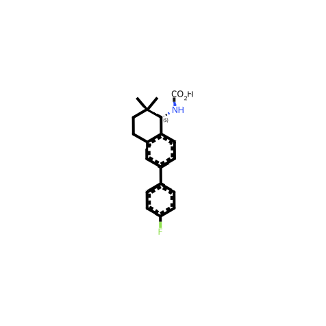 CC1(C)CCc2cc(-c3ccc(F)cc3)ccc2[C@H]1NC(=O)O